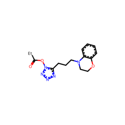 CCC(=O)On1nnnc1CCCN1CCOc2ccccc21